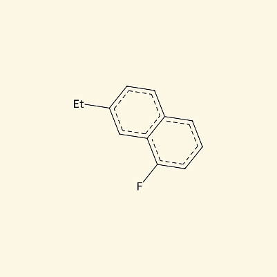 [CH2]Cc1ccc2cccc(F)c2c1